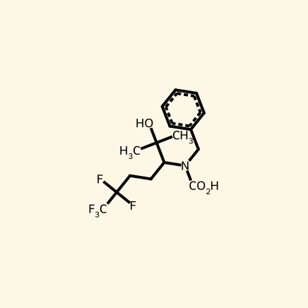 CC(C)(O)C(CCC(F)(F)C(F)(F)F)N(Cc1ccccc1)C(=O)O